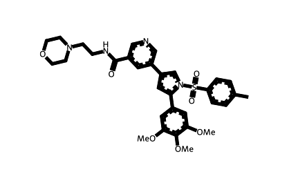 COc1cc(-c2cc(-c3cncc(C(=O)NCCN4CCOCC4)c3)cn2S(=O)(=O)c2ccc(C)cc2)cc(OC)c1OC